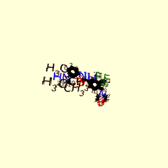 Cc1ccc(NC(=O)c2ccc(CN3CCOCC3)c(C(F)(F)F)c2)cc1NC(C)(C)C